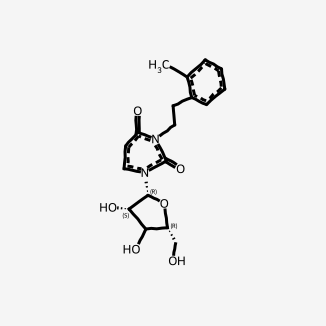 Cc1ccccc1CCn1c(=O)ccn([C@@H]2O[C@H](CO)C(O)[C@@H]2O)c1=O